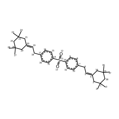 CC1(C)CC(=CCc2ccc(S(=O)(=O)c3ccc(CC=C4CC(C)(C)CC(C)(C)C4)cc3)cc2)CC(C)(C)C1